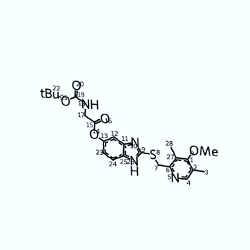 COc1c(C)cnc(CSc2nc3cc(OC(=O)CNC(=O)OC(C)(C)C)ccc3[nH]2)c1C